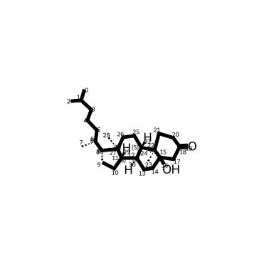 CC(C)CCC[C@@H](C)[C@H]1CC[C@H]2[C@@H]3CCC4(O)CC(=O)CC[C@]4(C)[C@H]3CC[C@]12C